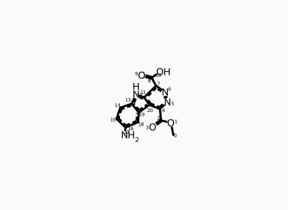 COC(=O)c1nnc(C(=O)O)c2[nH]c3ccc(N)cc3c12